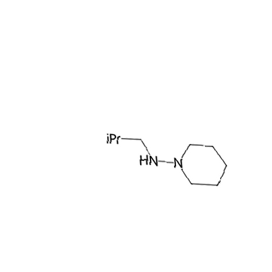 [CH2]C(C)CNN1CCCCC1